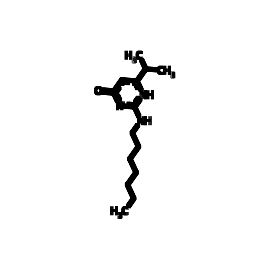 CCCCCCCNc1nc(=O)cc(C(C)C)[nH]1